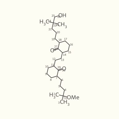 COC(C)(C)CCCC1CCCC(CCC2CCCC(CCCC(C)(C)CO)C2=O)C1=O